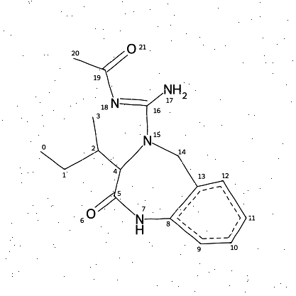 CCC(C)C1C(=O)Nc2ccccc2CN1C(N)=NC(C)=O